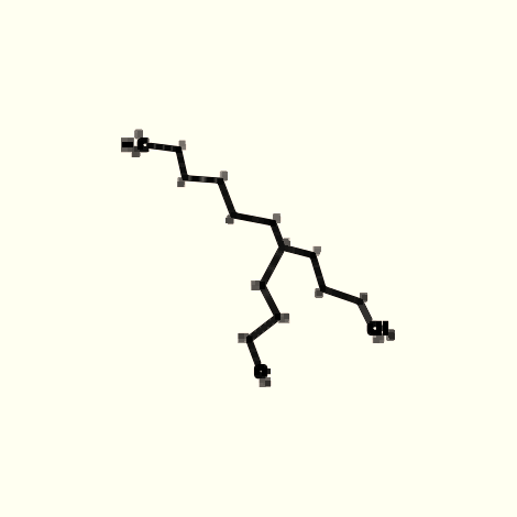 CCCCCCC(CCCC)CCC[O]